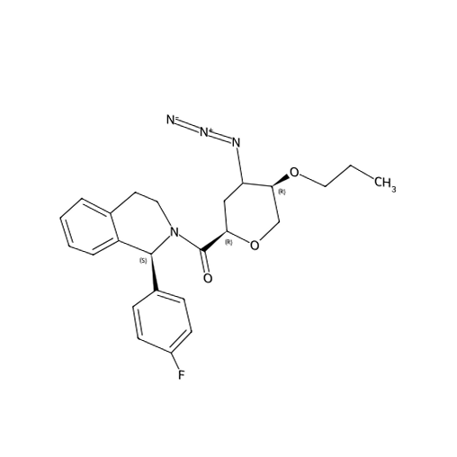 CCCO[C@H]1CO[C@@H](C(=O)N2CCc3ccccc3[C@@H]2c2ccc(F)cc2)CC1N=[N+]=[N-]